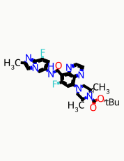 Cc1cn2cc(NC(=O)c3c(F)cc(N4CC(C)N(C(=O)OC(C)(C)C)[C@@H](C)C4)c4nccnc34)cc(F)c2n1